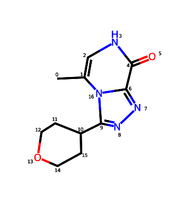 Cc1c[nH]c(=O)c2nnc(C3CCOCC3)n12